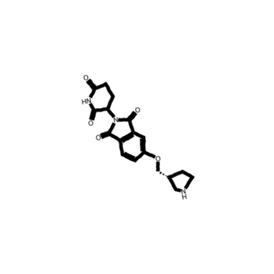 O=C1CCC(N2C(=O)c3ccc(OC[C@@H]4CCNC4)cc3C2=O)C(=O)N1